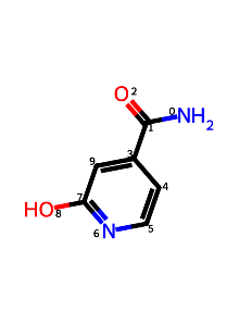 NC(=O)c1ccnc(O)c1